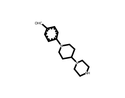 O=Cc1ccc(N2CCC(N3CCNCC3)CC2)cc1